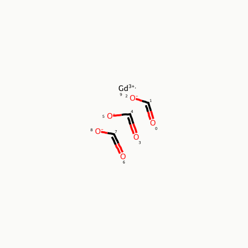 O=C[O-].O=C[O-].O=C[O-].[Gd+3]